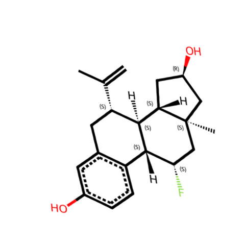 C=C(C)[C@H]1Cc2cc(O)ccc2[C@@H]2[C@@H]1[C@@H]1C[C@@H](O)C[C@@]1(C)C[C@@H]2F